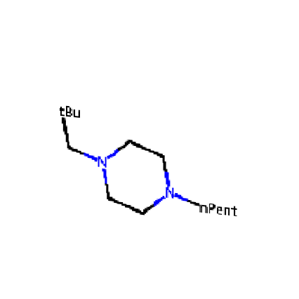 CCCCCN1CCN(CC(C)(C)C)CC1